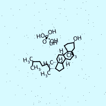 CC(C)CCCC(C)[C@H]1CC[C@H]2[C@@H]3CC=C4C[C@@H](O)CC[C@]4(C)[C@H]3CC[C@]12C.O=P(O)(O)O.[LiH]